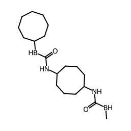 CBC(=O)NC1CCCC(NC(=O)BC2CCCCCCC2)CCC1